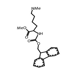 CNCCCCC(NC(=O)OCC1c2ccccc2-c2ccccc21)C(=O)OC